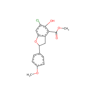 COC(=O)c1c(O)c(Cl)cc2c1CC(c1ccc(OC)cc1)O2